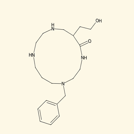 O=C1NCCN(Cc2ccccc2)CCCNCCNCC1CCO